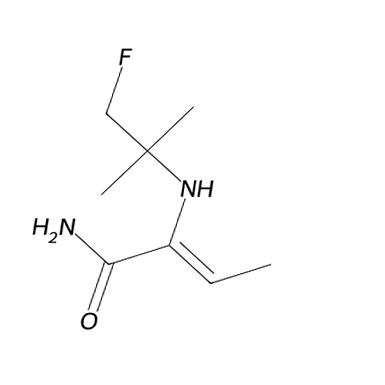 CC=C(NC(C)(C)CF)C(N)=O